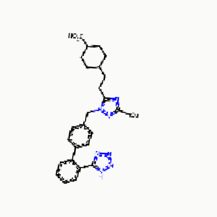 CC(C)(C)c1nc(CCC2CCC(C(=O)O)CC2)n(Cc2ccc(-c3ccccc3-c3nnn[nH]3)cc2)n1